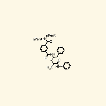 CCCCCN(CCCCC)C(=O)c1cccc(C(=O)N[C@H]([CH]C(C)C(=O)Nc2ccccc2)Cc2ccccc2)c1